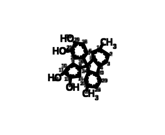 Cc1ccc2c(c1)C(c1ccc(O)c(O)c1)(c1ccc(O)c(O)c1)c1cc(C)ccc1-2